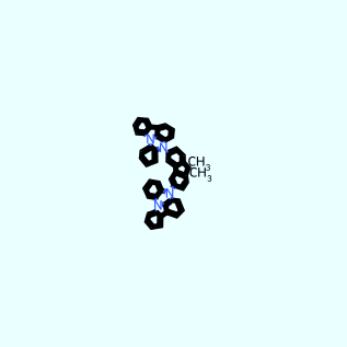 CC1(C)c2ccc(N3c4ccccc4-n4c5ccccc5c5cccc3c54)cc2-c2cc(N3c4ccccc4-n4c5ccccc5c5cccc3c54)ccc21